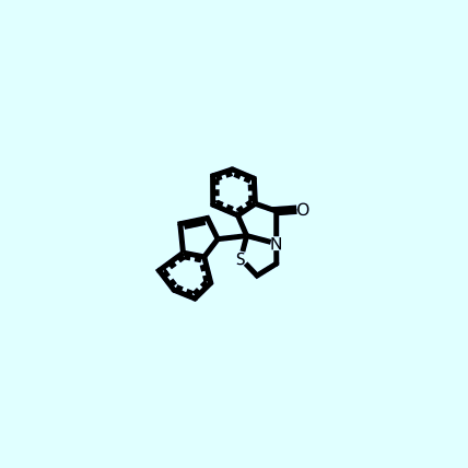 O=C1c2ccccc2C2(C3C=Cc4ccccc43)SCCN12